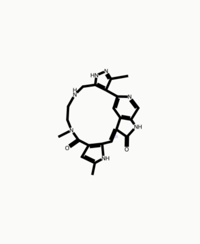 Cc1cc2c([nH]1)/C=C1\C(=O)Nc3cnc(cc31)-c1c(C)n[nH]c1CNCCN(C)C2=O